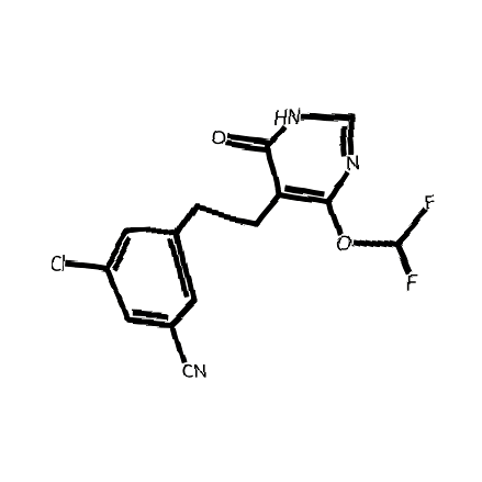 N#Cc1cc(Cl)cc(CCc2c(OC(F)F)nc[nH]c2=O)c1